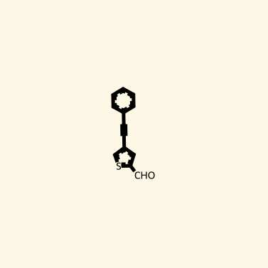 O=Cc1cc(C#Cc2ccccc2)cs1